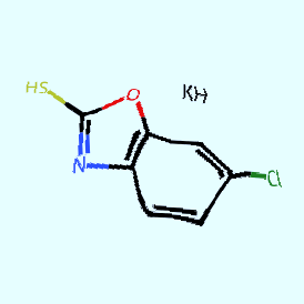 Sc1nc2ccc(Cl)cc2o1.[KH]